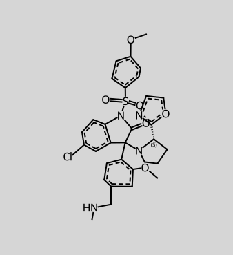 CNCc1ccc(C2(N3CCC[C@H]3c3ncco3)C(=O)N(S(=O)(=O)c3ccc(OC)cc3)c3ccc(Cl)cc32)c(OC)c1